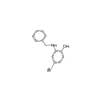 Oc1ccc(Br)cc1NCc1ccccc1